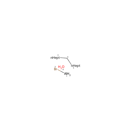 O.[AlH2][Br].[CH2]CCCCCCCCCCCCCC